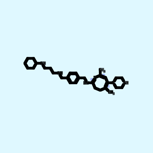 CC1=C/C(N2CCNCC2)=C(/C)CC/C(NCc2ccc(CNCCCNC3CCCCC3)cc2)=N\1